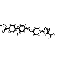 CC(C)c1noc(N2CCC(COc3ccc(C4=CCC(C(=O)O)CC4)c(F)c3)CC2)n1